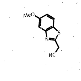 COc1ccc2sc(CC#N)nc2c1